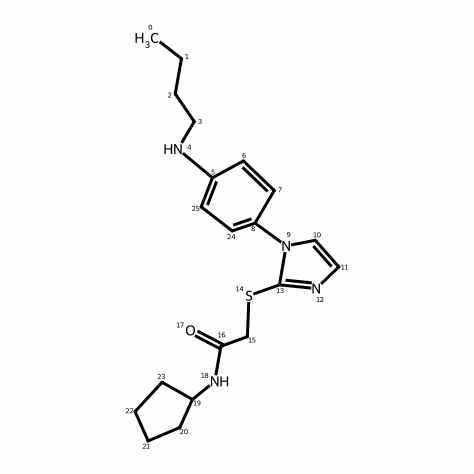 CCCCNc1ccc(-n2ccnc2SCC(=O)NC2CCCC2)cc1